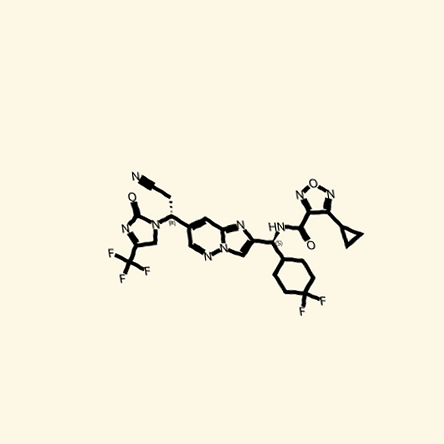 N#CC[C@H](c1cnn2cc([C@@H](NC(=O)c3nonc3C3CC3)C3CCC(F)(F)CC3)nc2c1)N1CC(C(F)(F)F)=NC1=O